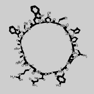 CCCC[C@H]1C(=O)N(C)[C@@H](CCCC)C(=O)N[C@@H](CCCNC(=N)N)C(=O)NC(C(=O)NCC(N)=O)CSCC(=O)N[C@@H](Cc2ccc(O)cc2)C(=O)NC2(CC2)C(=O)N[C@@H](CC(N)=O)C(=O)N2CCC[C@H]2C(=O)N[C@@H](CC2=CCC=N2)C(=O)N[C@H](CC(C)C)C(=O)N2C[C@H](O)C[C@H]2C(=O)NC(Cc2c[nH]c3ccccc23)C(=O)N[C@@H](CO)C(=O)N[C@@H](Cc2c[nH]c3ccccc23)C(=O)N1C